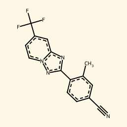 Cc1cc(C#N)ccc1-c1nc2cc(C(F)(F)F)ccn2n1